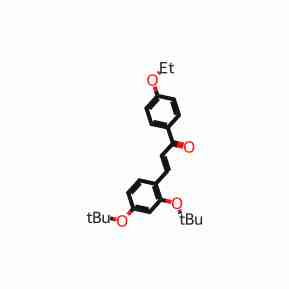 CCOc1ccc(C(=O)C=Cc2ccc(OC(C)(C)C)cc2OC(C)(C)C)cc1